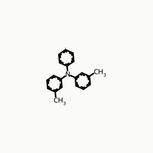 Cc1cccc(N(c2cc[c]cc2)c2cccc(C)c2)c1